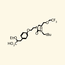 CCOC(Cc1ccc(OCCN(CCCOCC(F)(F)F)C(=O)NCC(C)(C)C)cc1)C(=O)O